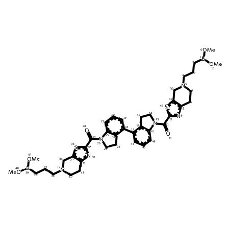 COB(CCCN1CCc2nc(C(=O)N3CCc4c(-c5cccc6c5CCN6C(=O)c5nc6c(s5)CN(CCCB(OC)OC)CC6)cccc43)sc2C1)OC